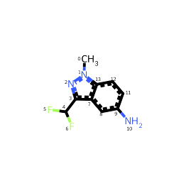 Cn1nc(C(F)F)c2cc(N)ccc21